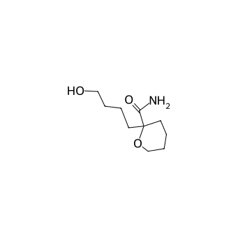 NC(=O)C1(CCCCO)CCCCO1